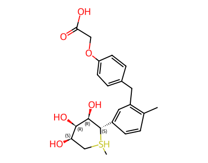 Cc1ccc([C@H]2[C@H](O)[C@H](O)[C@H](O)C[SH]2C)cc1Cc1ccc(OCC(=O)O)cc1